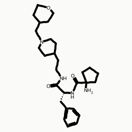 NC1(C(=O)N[C@H](Cc2ccccc2)C(=O)NCCC2CCN(CC3CCOCC3)CC2)CCCC1